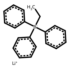 CC[B-](c1ccccc1)(c1ccccc1)c1ccccc1.[Li+]